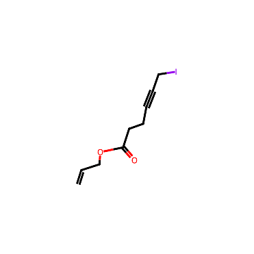 C=CCOC(=O)CCC#CCI